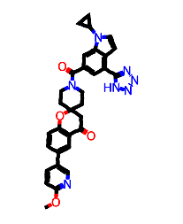 COc1ccc(-c2ccc3c(c2)C(=O)CC2(CCN(C(=O)c4cc(-c5nnn[nH]5)c5ccn(C6CC6)c5c4)CC2)O3)cn1